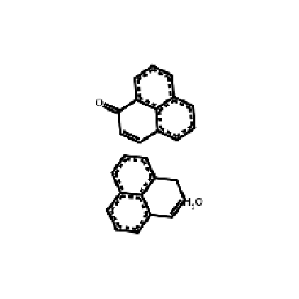 C1=Cc2cccc3cccc(c23)C1.O.O=C1C=Cc2cccc3cccc1c23